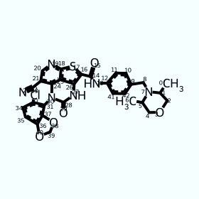 CC1COCC(C)N1Cc1ccc(NC(=O)c2sc3ncc(C#N)c4c3c2NC(=O)N4c2c(Cl)ccc3c2OCO3)cc1